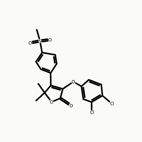 CC1(C)OC(=O)C(Oc2ccc(Cl)c(Cl)c2)=C1c1ccc(S(C)(=O)=O)cc1